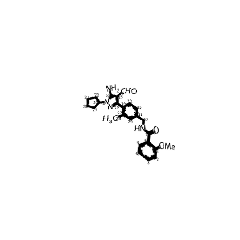 COc1ccccc1C(=O)NCc1ccc(-c2nn(C3CCCC3)c(N)c2C=O)c(C)c1